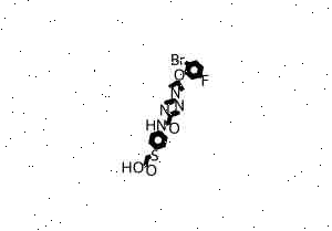 O=C(O)CSc1ccc(NC(=O)c2cnc(N3CC(Oc4cc(F)ccc4Br)C3)cn2)cc1